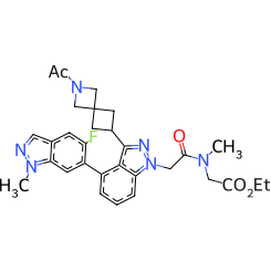 CCOC(=O)CN(C)C(=O)Cn1nc(C2CC3(C2)CN(C(C)=O)C3)c2c(-c3cc4c(cnn4C)cc3F)cccc21